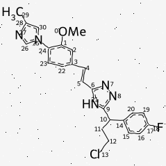 COc1cc(C=Cc2nnc(C(CCCl)c3ccc(F)cc3)[nH]2)ccc1-n1cnc(C)c1